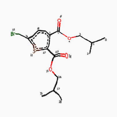 CC(C)COC(=O)c1cc(Br)sc1C(=O)OCC(C)C